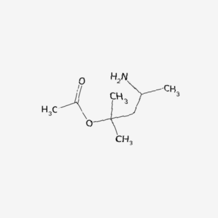 CC(=O)OC(C)(C)CC(C)N